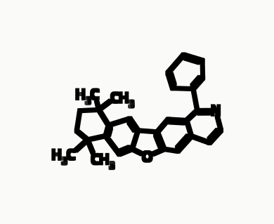 CC1(C)CCC(C)(C)c2cc3c(cc21)oc1cc2ccnc(-c4ccccc4)c2cc13